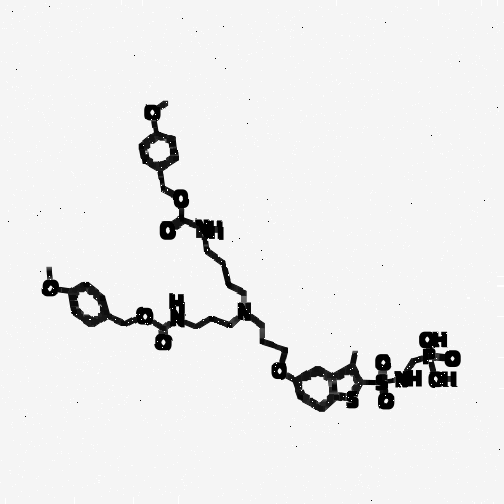 COc1ccc(COC(=O)NCCCCN(CCCNC(=O)OCc2ccc(OC)cc2)CCCOc2ccc3sc(S(=O)(=O)NCP(=O)(O)O)c(C)c3c2)cc1